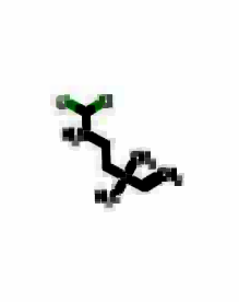 C=C[Si](C)(C)CC[SiH2]C(Cl)Cl